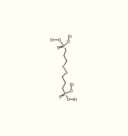 CCOP(=S)(CCCSSCCCP(=S)(OCC)OCC)OCC